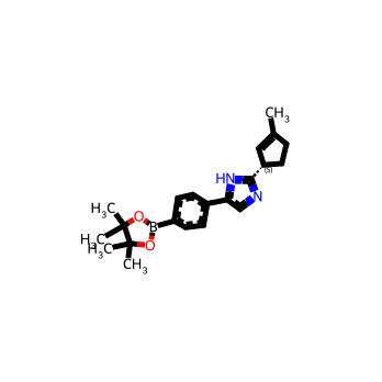 CC1=C[C@@H](c2ncc(-c3ccc(B4OC(C)(C)C(C)(C)O4)cc3)[nH]2)CC1